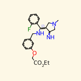 CCOC(=O)COc1cccc(CN/C(=C2/CN(C)CC2=N)c2ccccc2F)c1